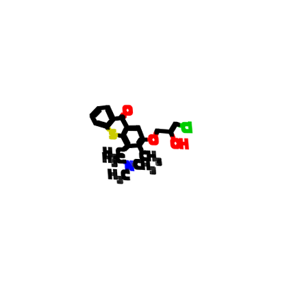 CN(C)C.Cc1c(OCC(O)CCl)cc2c(=O)c3ccccc3sc2c1C